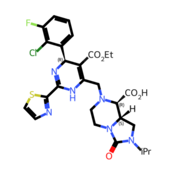 CCOC(=O)C1=C(CN2CCN3C(=O)N(C(C)C)C[C@H]3[C@@H]2C(=O)O)NC(c2nccs2)=N[C@H]1c1cccc(F)c1Cl